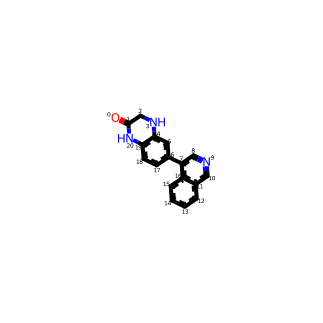 O=C1CNc2cc(-c3cncc4ccccc34)ccc2N1